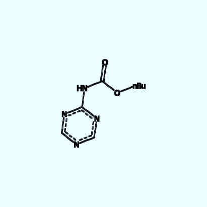 CCCCOC(=O)Nc1ncncn1